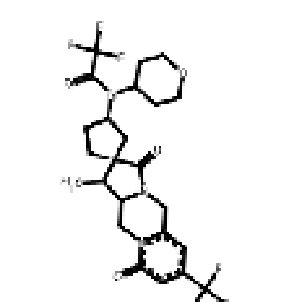 CC1C2Cn3c(cc(C(F)(F)F)cc3=O)CN2C(=O)[C@]12CC[C@@H](N(C(=O)C(F)(F)F)C1CCOCC1)C2